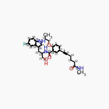 CCCOc1ccc(C#CCCCC(=O)NC)cc1C(=O)NC(CO)Cc1c[nH]c2ccc(F)cc12